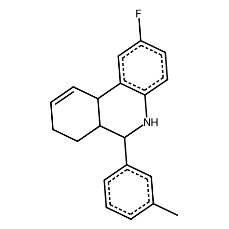 Cc1cccc(C2Nc3ccc(F)cc3C3C=CCCC32)c1